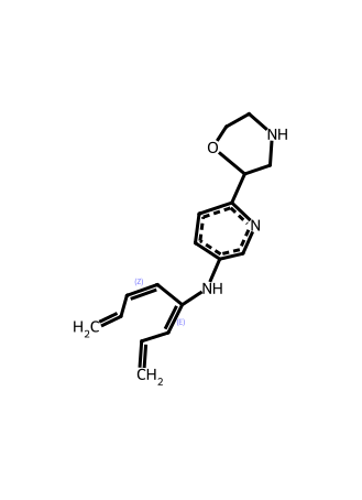 C=C/C=C\C(=C/C=C)Nc1ccc(C2CNCCO2)nc1